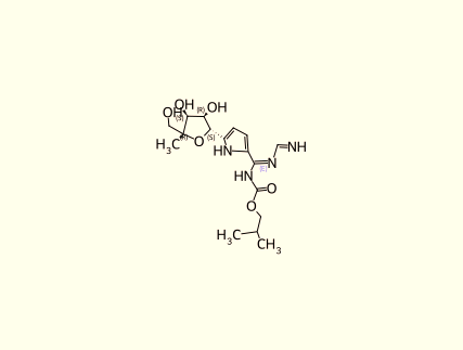 CC(C)COC(=O)N/C(=N/C=N)c1ccc([C@@H]2O[C@](C)(CO)[C@@H](O)[C@H]2O)[nH]1